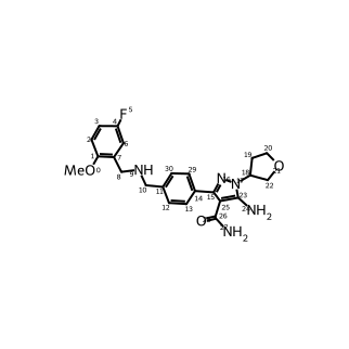 COc1ccc(F)cc1CNCc1ccc(-c2nn(C3CCOC3)c(N)c2C(N)=O)cc1